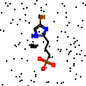 O=S(=O)([O-])CCCc1nc(S)c[nH]1.[Na+]